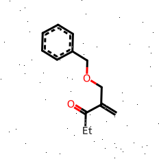 C=C(COCc1ccccc1)C(=O)CC